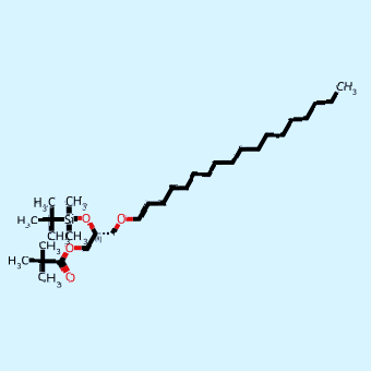 CCCCCCCCCCCCCCCCCCOC[C@H](COC(=O)C(C)(C)C)O[Si](C)(C)C(C)(C)C